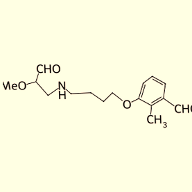 COC(C=O)CNCCCCOc1cccc(C=O)c1C